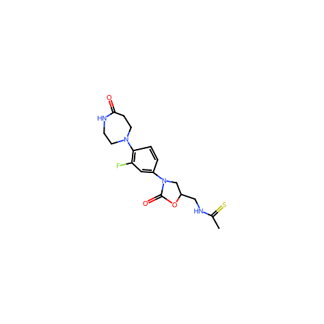 CC(=S)NCC1CN(c2ccc(N3CCNC(=O)CC3)c(F)c2)C(=O)O1